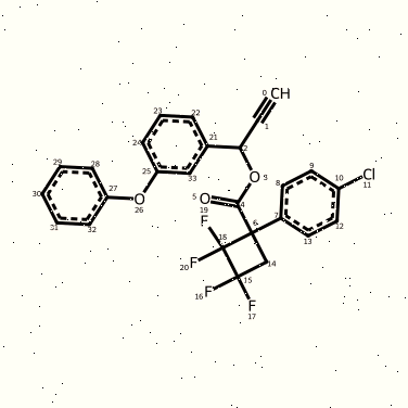 C#CC(OC(=O)C1(c2ccc(Cl)cc2)CC(F)(F)C1(F)F)c1cccc(Oc2ccccc2)c1